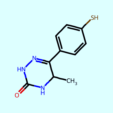 CC1NC(=O)NN=C1c1ccc(S)cc1